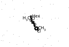 CCCCCCC(C)C(=O)OC1CC(OCc2ccc(Cl)c(C)c2)C1